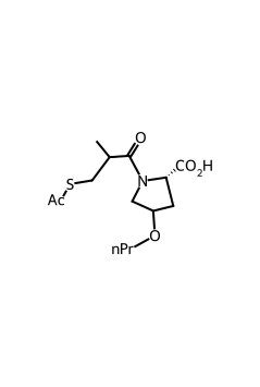 CCCOC1C[C@@H](C(=O)O)N(C(=O)C(C)CSC(C)=O)C1